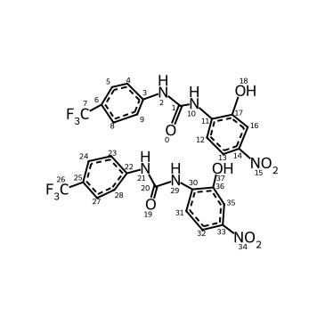 O=C(Nc1ccc(C(F)(F)F)cc1)Nc1ccc([N+](=O)[O-])cc1O.O=C(Nc1ccc(C(F)(F)F)cc1)Nc1ccc([N+](=O)[O-])cc1O